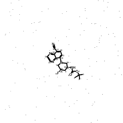 CC(C)(C)OC(=O)N[C@H]1C[C@@H](F)CN(c2ccc(C#N)c3nccnc23)C1